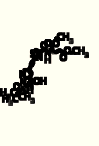 CCOC(=O)CC[C@@H](NC(=O)c1csc(C#Cc2cnc3nc(NC(=O)C(C)(C)C)nc(O)c3c2)n1)C(=O)OCC